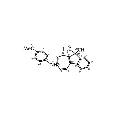 COc1ccc(NC2=CCC3=C(C=C2)c2ccccc2C3(C)C)cc1